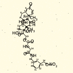 C[C@]12C=CC(=O)C=C1CC[C@H]1[C@@H]3C[C@@H](O)[C@](O)(C(=O)COC(=O)NCC(=O)NCc4cccc(CO[N+](=O)[O-])c4)[C@@]3(C)C[C@H](O)[C@@]12F